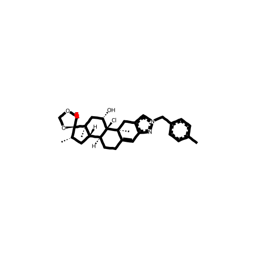 Cc1ccc(Cn2cc3c(n2)C=C2CC[C@H]4[C@@H]5C[C@H](C)[C@@]6(OCOC67COCO7)[C@@]5(C)C[C@H](O)[C@]4(Cl)[C@@]2(C)C3)cc1